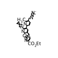 CCOC(=O)c1cn(Cc2cc(-c3ccc(CN=[N+]=[N-])c(C)n3)c(N3CC4(CC4)C3)nc2C)nn1